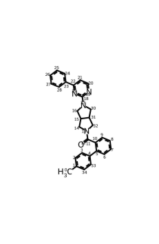 Cc1ccc(-c2ccccc2C(=O)N2CC3CN(c4nccc(-c5ccccc5)n4)CC3C2)cc1